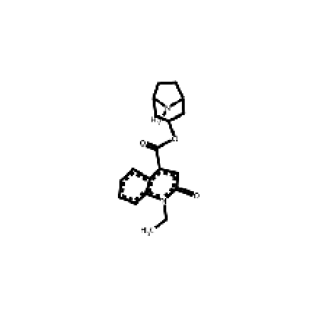 CCn1c(=O)cc(C(=O)OC2CC3CCC(C2)N3C)c2ccccc21